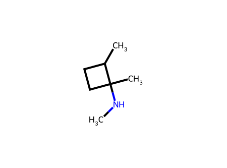 CNC1(C)CCC1C